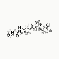 O=C(CN1CCOCC1)NCc1ccc(-c2cc3c(Nc4ccc(F)c(Cl)c4)ncnc3[nH]2)cc1